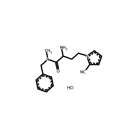 CN(Cc1ccccc1)C(=O)C(N)CCn1cccc1C#N.Cl